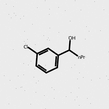 CCCC(O)c1cccc(Cl)c1